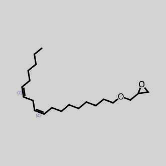 CCCCC/C=C\C/C=C\CCCCCCCCOCC1CO1